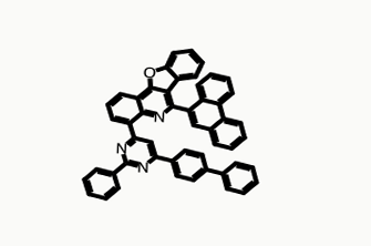 c1ccc(-c2ccc(-c3cc(-c4cccc5c4nc(-c4cc6ccccc6c6ccccc46)c4c6ccccc6oc54)nc(-c4ccccc4)n3)cc2)cc1